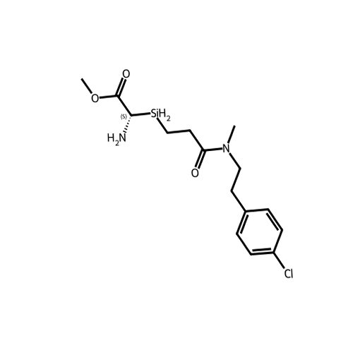 COC(=O)[C@@H](N)[SiH2]CCC(=O)N(C)CCc1ccc(Cl)cc1